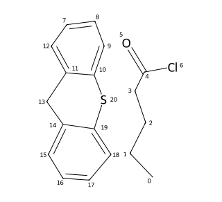 CCCCC(=O)Cl.c1ccc2c(c1)Cc1ccccc1S2